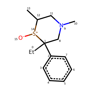 CCC1(c2ccccc2)CN(C)CC(C)[S+]1[O-]